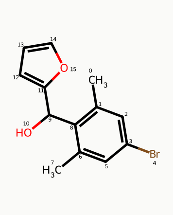 Cc1cc(Br)cc(C)c1C(O)c1ccco1